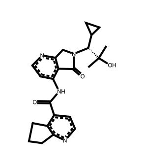 CC(C)(O)[C@@H](C1CC1)N1Cc2nccc(NC(=O)c3ccnc4c3CCC4)c2C1=O